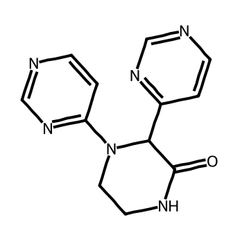 O=C1NCCN(c2ccncn2)C1c1ccncn1